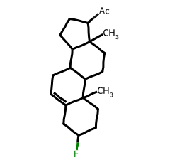 CC(=O)C1CCC2C3CC=C4CC(F)CCC4(C)C3CCC12C